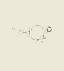 N=C(N)NCCC[C@@H]1NC(=O)CNC(=O)[C@H](CC(=O)O)NC(=O)[C@@H](Cc2ccccc2)NC(=O)CCCCCNC1=O